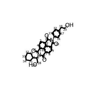 O=C1c2ccc3c4c(ccc(c24)C(=O)N1c1ccc(CCO)cc1)C(=O)N(C(CO)C1CCCCC1)C3=O